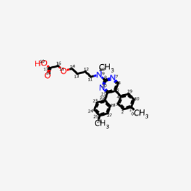 Cc1ccc(-c2cnc(N(C)CCCCOCC(=O)O)nc2-c2ccc(C)cc2)cc1